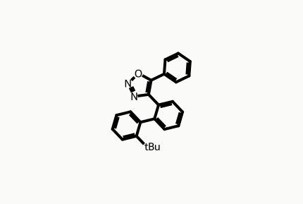 CC(C)(C)c1ccccc1-c1ccccc1-c1nnoc1-c1ccccc1